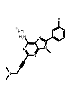 CN(C)CC#Cc1nc(N)c2nc(-c3cccc(F)c3)n(C)c2n1.Cl.Cl